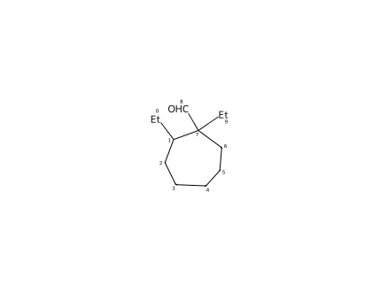 CCC1CCCCCC1(C=O)CC